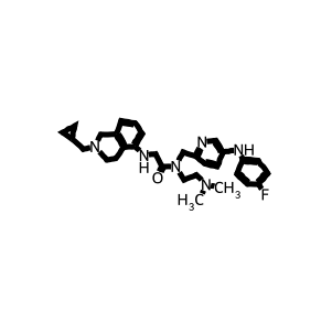 CN(C)CCN(Cc1ccc(Nc2ccc(F)cc2)cn1)C(=O)CNc1cccc2c1CCN(CC1CC1)C2